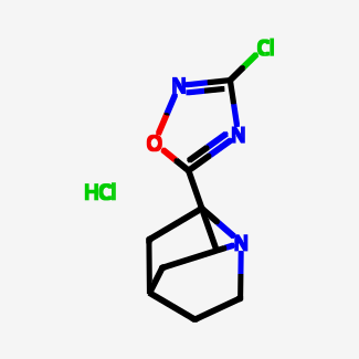 Cl.Clc1noc(C2CC3CCN2CC3)n1